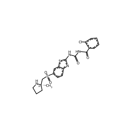 C[C@]1(CS(=O)(=O)c2ccc3nc(NC(=O)NC(=O)c4ccccc4Cl)sc3c2)CCCN1